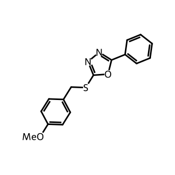 COc1ccc(CSc2nnc(-c3ccccc3)o2)cc1